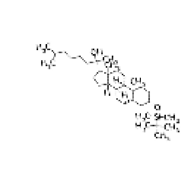 CC(C)CCCCC(C)(O)[C@H]1CC[C@H]2[C@@H]3CC=C4C[C@@H](O[Si](C)(C)C(C)(C)C)CC[C@]4(C)[C@H]3CC[C@]12C